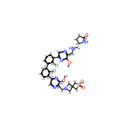 COc1nc(-c2cccc(-c3cccc(-c4cnc(CN5CC6(C5)CS(=O)(=O)C6)c(OC)n4)c3Cl)c2Cl)cnc1CNC[C@@H]1CCC(=O)N1